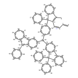 C=C/C=C\C1=C(C)c2ccccc2C1(c1ccccc1)c1ccc(N(c2ccc3c(c2)C(c2ccccc2)(c2ccccc2)c2ccccc2-3)c2ccc3c(c2)c2ccccc2n3-c2ccccc2)cc1